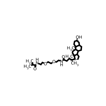 C=C(C)C(=O)NCCOCCOCCNC(=O)CC[C@@H](C)[C@H]1CCC2C3CCC4C[C@H](O)CC[C@]4(C)C3CC[C@@]21C